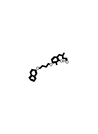 Cc1c(OCCCCOc2ccc3ccccc3c2)ccc(CC(C)CC=O)c1O